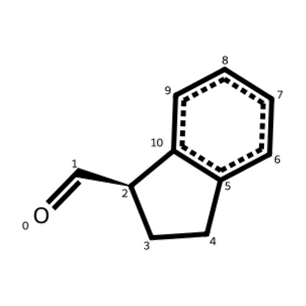 O=C[C@@H]1CCc2ccccc21